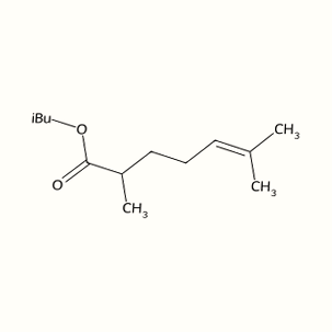 CCC(C)OC(=O)C(C)CCC=C(C)C